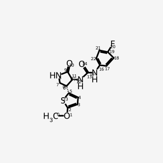 COc1ccc([C@@H]2CNC(=O)[C@H]2NC(=O)Nc2ccc(F)cc2)s1